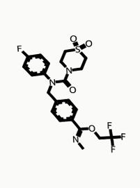 C/N=C(\OCC(F)(F)F)c1ccc(CN(C(=O)N2CCS(=O)(=O)CC2)c2ccc(F)cc2)cc1